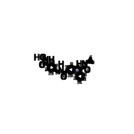 O=C(NC1CC1)/C(=C/c1ccc(C(=O)NCc2ccc(C(=O)NO)cc2)cc1)c1ccccc1